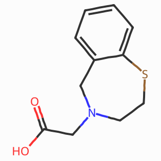 O=C(O)CN1CCSc2ccccc2C1